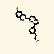 OCCc1ccnc(-c2cnc3ccc(NCc4cc(F)ccc4O)nn23)c1